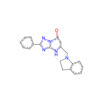 O=c1cc(CN2CCc3ccccc32)[nH]c2nc(-c3ccccc3)nn12